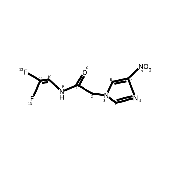 O=C(Cn1cnc([N+](=O)[O-])c1)NC=C(F)F